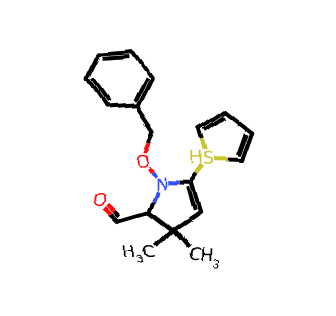 CC1(C)C=C([SH]2C=CC=C2)N(OCc2ccccc2)C1C=O